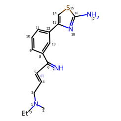 CCN(C)C/C=C/C(=N)c1cccc(-c2csc(N)n2)c1